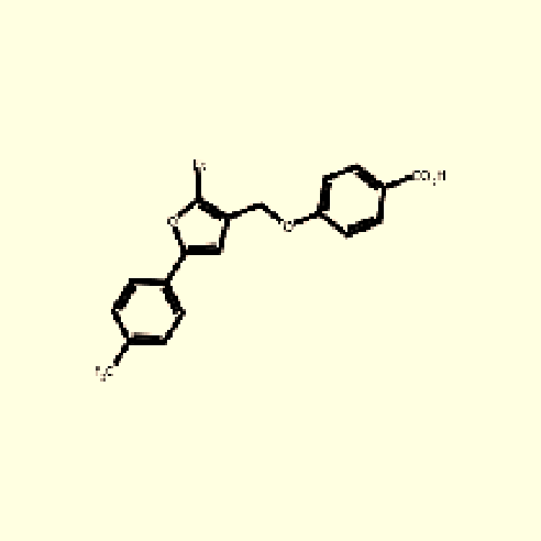 CCc1oc(-c2ccc(C(F)(F)F)cc2)cc1COc1ccc(C(=O)O)cc1